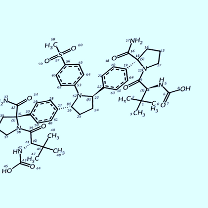 CC(C)(C)[C@H](NC(=O)O)C(=O)N1CCC[C@@]1(C(N)=O)c1ccc([C@H]2CC[C@H](c3ccc([C@]4(C(N)=O)CCCN4C(=O)[C@@H](NC(=O)O)C(C)(C)C)cc3)N2c2ccc(S(C)(=O)=O)cc2)cc1